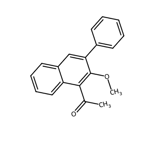 COc1c(-c2ccccc2)cc2ccccc2c1C(C)=O